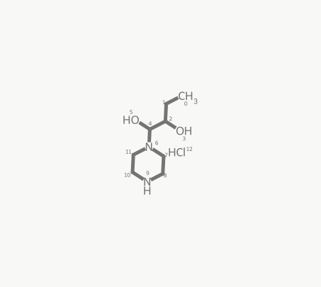 CCC(O)C(O)N1CCNCC1.Cl